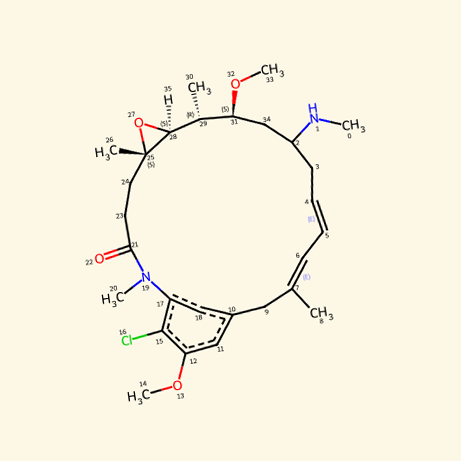 CNC1C/C=C/C=C(\C)Cc2cc(OC)c(Cl)c(c2)N(C)C(=O)CC[C@]2(C)O[C@H]2[C@H](C)[C@@H](OC)C1